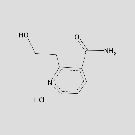 Cl.NC(=O)c1cccnc1CCO